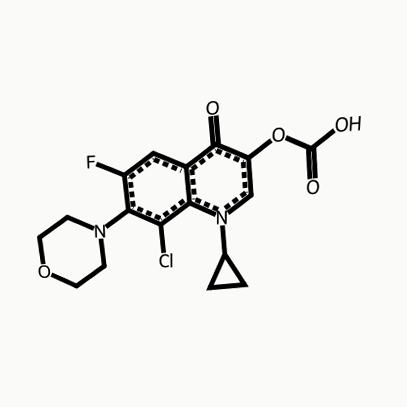 O=C(O)Oc1cn(C2CC2)c2c(Cl)c(N3CCOCC3)c(F)cc2c1=O